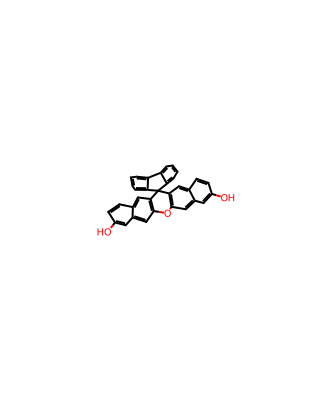 Oc1ccc2cc3c(cc2c1)Oc1cc2cc(O)ccc2cc1C31c2ccccc2-c2ccccc21